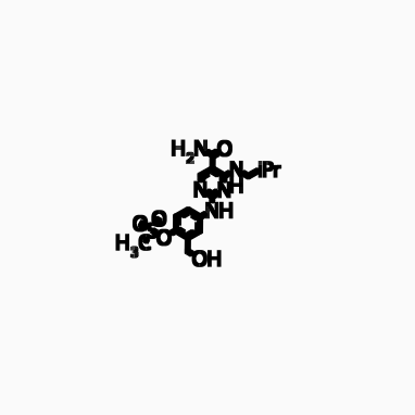 CC(C)CNc1nc(Nc2ccc(OS(C)(=O)=O)c(CO)c2)ncc1C(N)=O